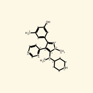 Cc1cc(O)cc(-c2nn(C)c(N(C)C3CCNCC3)c2-c2ccncn2)c1